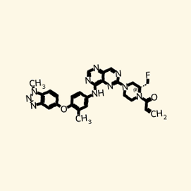 C=CC(=O)N1CCN(c2ncc3ncnc(Nc4ccc(Oc5ccc6c(c5)nnn6C)c(C)c4)c3n2)C[C@@H]1CF